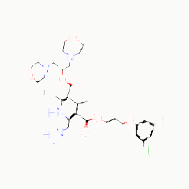 CCC1=C(C(=O)OC(CN2CCOCC2)CN2CCOCC2)C(C)C(C(=O)OCCCOc2cc(Cl)cc(Cl)c2)=C(CN)N1